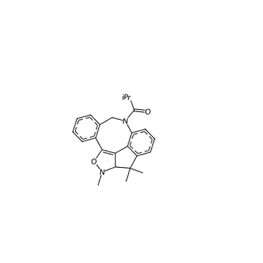 CC(C)C(=O)N1Cc2ccccc2C2=C3c4c1cccc4C(C)(C)C3N(C)O2